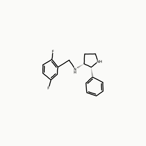 Fc1ccc(F)c(CN[C@@H]2CCN[C@@H]2c2ccccc2)c1